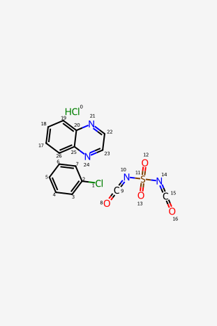 Cl.Clc1ccccc1.O=C=NS(=O)(=O)N=C=O.c1ccc2nccnc2c1